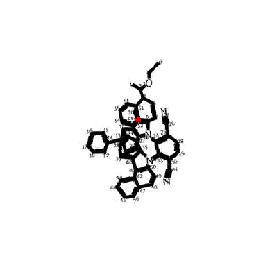 CCOC(C)C(/C=C\c1c(C)c2cc(-c3ccccc3)ccc2n1-c1c(C#N)ccc(C#N)c1-n1c2ccccc2c2c3ccccc3ccc21)c1ccccc1